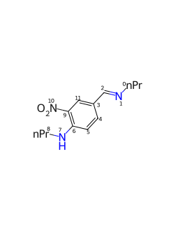 CCCN=Cc1ccc(NCCC)c([N+](=O)[O-])c1